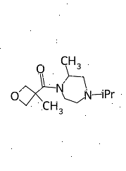 CC(C)N1CCN(C(=O)C2(C)COC2)C(C)C1